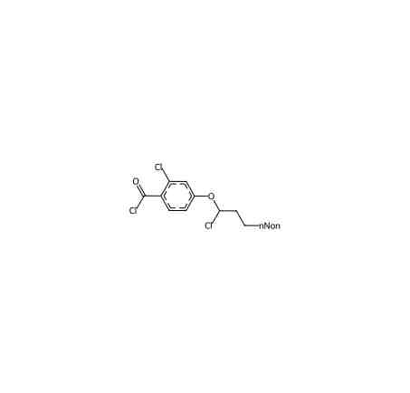 CCCCCCCCCCCC(Cl)Oc1ccc(C(=O)Cl)c(Cl)c1